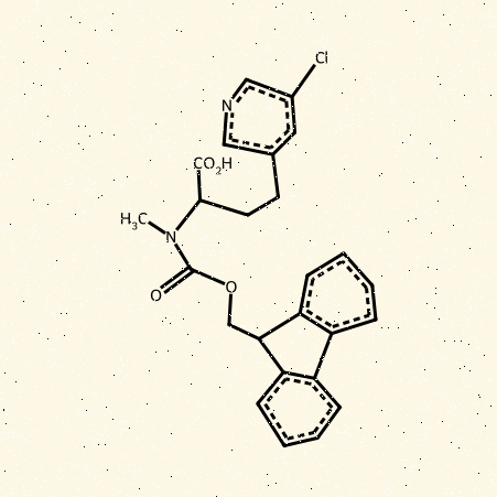 CN(C(=O)OCC1c2ccccc2-c2ccccc21)C(CCc1cncc(Cl)c1)C(=O)O